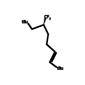 CC(C)(C)/C=C/CC[C@H](CC(C)(C)C)C(F)(F)F